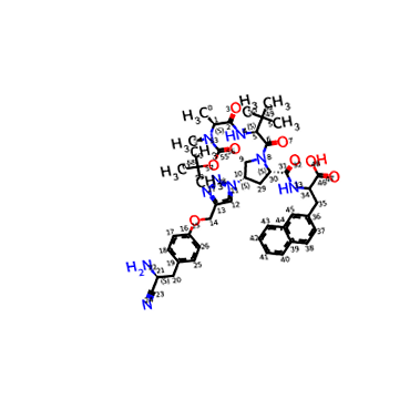 C[C@@H](C(=O)N[C@H](C(=O)N1C[C@@H](n2cc(COc3ccc(C[C@H](N)C#N)cc3)nn2)C[C@H]1C(=O)NC(Cc1ccc2ccccc2c1)C(=O)O)C(C)(C)C)N(C)C(=O)OC(C)(C)C